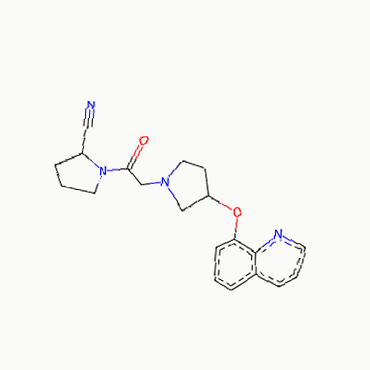 N#CC1CCCN1C(=O)CN1CCC(Oc2cccc3cccnc23)C1